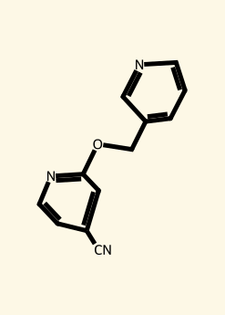 N#Cc1ccnc(OCc2cccnc2)c1